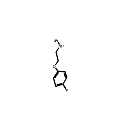 CC(C)NCCOc1ccc(F)cc1